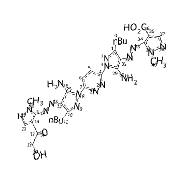 CCCCc1nn(-c2ccc(-n3nc(CCCC)c(/N=N/c4c(C(=O)CO)cnn4C)c3N)nn2)c(N)c1/N=N/c1c(C(=O)O)cnn1C